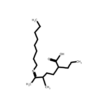 CCCCCCCCN=C(C)C(C)CCC(CCC)C(=O)O